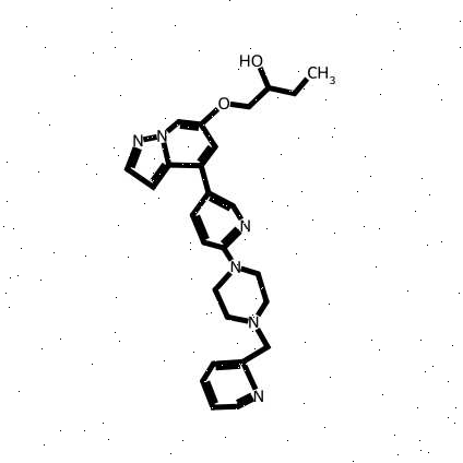 CCC(O)COc1cc(-c2ccc(N3CCN(Cc4ccccn4)CC3)nc2)c2ccnn2c1